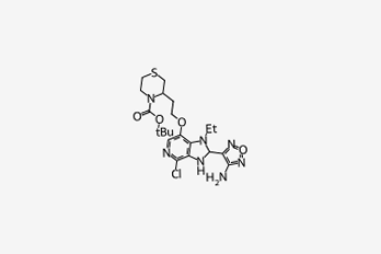 CCN1c2c(OCCC3CSCCN3C(=O)OC(C)(C)C)cnc(Cl)c2NC1c1nonc1N